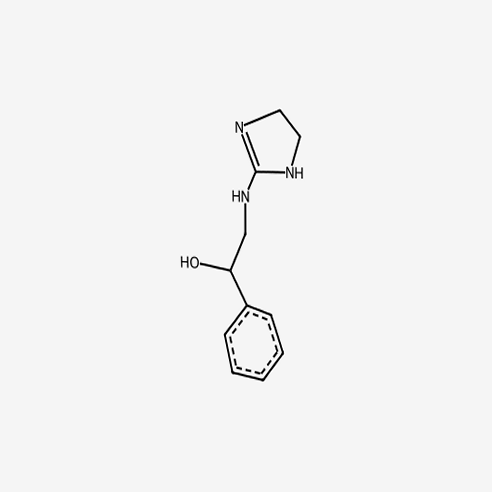 OC(CNC1=NCCN1)c1ccccc1